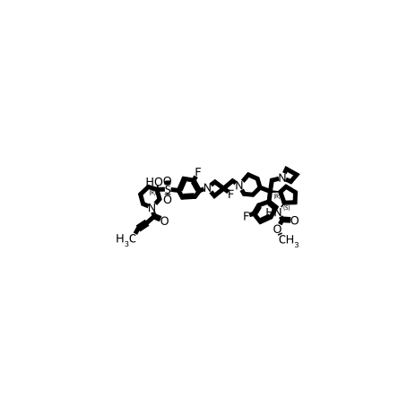 CC#CC(=O)N1CCC[C@@](O)(S(=O)(=O)c2ccc(N3CC(F)(CN4CCC(C(CN5CCC5)(c5cccc(F)c5)[C@H]5CCC[C@@H]5NC(=O)OC)CC4)C3)c(F)c2)C1